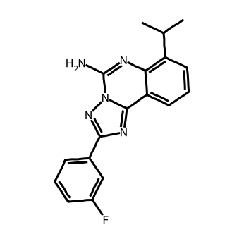 CC(C)c1cccc2c1nc(N)n1nc(-c3cccc(F)c3)nc21